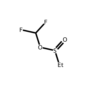 CCS(=O)OC(F)F